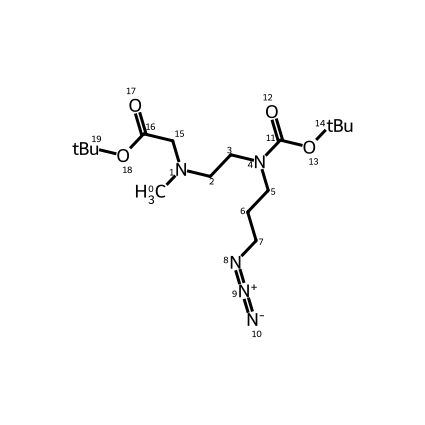 CN(CCN(CCCN=[N+]=[N-])C(=O)OC(C)(C)C)CC(=O)OC(C)(C)C